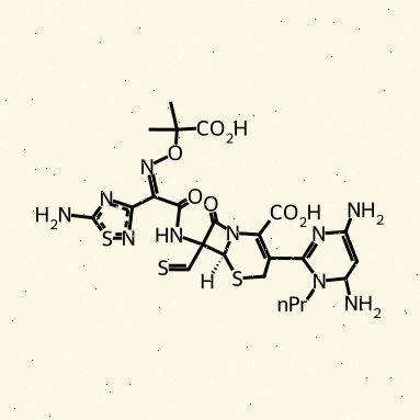 CCCN1C(C2=C(C(=O)O)N3C(=O)C(C=S)(NC(=O)/C(=N\OC(C)(C)C(=O)O)c4nsc(N)n4)[C@@H]3SC2)=NC(N)=CC1N